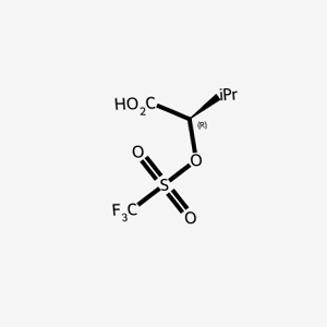 CC(C)[C@@H](OS(=O)(=O)C(F)(F)F)C(=O)O